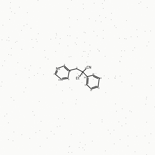 CCC(C#N)(Cc1cncnc1)c1ccccc1